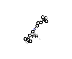 CCC1(C)c2cc(/C=C/c3ccc4c(ccc5cc(N6c7ccccc7OC7C=CC=CC76)ccc54)c3)ccc2C2C#CC(N3c4ccccc4Oc4ccccc43)=CC21